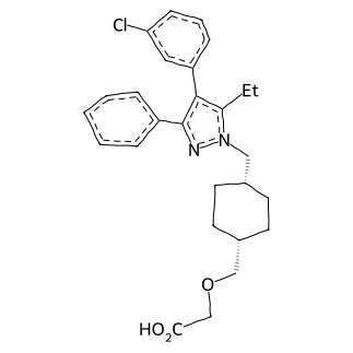 CCc1c(-c2cccc(Cl)c2)c(-c2ccccc2)nn1C[C@H]1CC[C@@H](COCC(=O)O)CC1